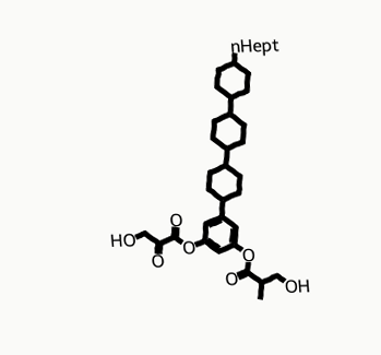 CCCCCCCC1CCC(C2CCC(C3CCC(c4cc(OC(=O)C(=O)CO)cc(OC(=O)C(C)CO)c4)CC3)CC2)CC1